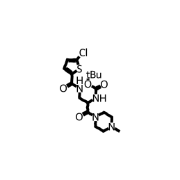 CN1CCN(C(=O)C(CNC(=O)c2ccc(Cl)s2)NC(=O)OC(C)(C)C)CC1